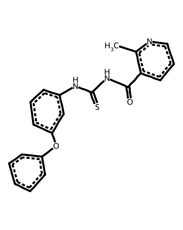 Cc1ncccc1C(=O)NC(=S)Nc1cccc(Oc2ccccc2)c1